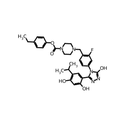 CCc1ccc(OC(=O)N2CCN(Cc3ccc(-n4c(O)nnc4-c4cc(C(C)C)c(O)cc4O)cc3F)CC2)cc1